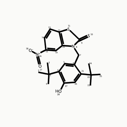 CC(C)(C)c1cc(Cn2c(=S)sc3ccc([N+](=O)[O-])cc32)c(C(C)(C)C)cc1O